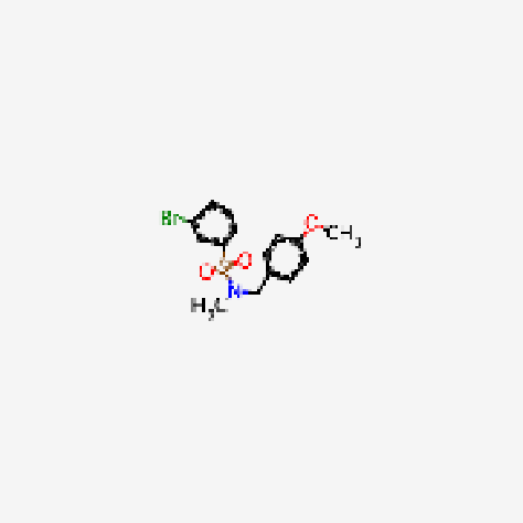 COc1ccc(CN(C)S(=O)(=O)c2cccc(Br)c2)cc1